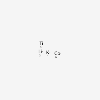 [Co].[K].[Li].[Ti]